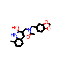 CC(=O)N(CC1=Cc2cccc(C)c2NC1O)Cc1ccc2c(c1)OCO2